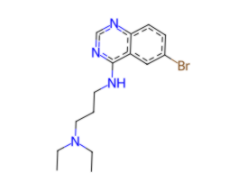 CCN(CC)CCCNc1ncnc2ccc(Br)cc12